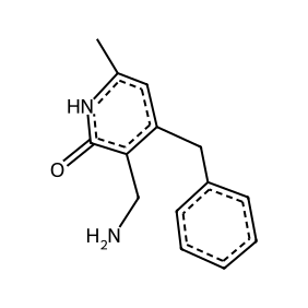 Cc1cc(Cc2ccccc2)c(CN)c(=O)[nH]1